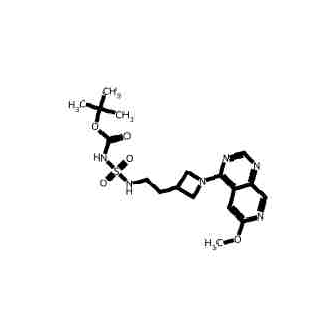 COc1cc2c(N3CC(CCNS(=O)(=O)NC(=O)OC(C)(C)C)C3)ncnc2cn1